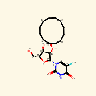 O=c1[nH]c(=O)n([C@@H]2O[C@H](CO)C3OC4(CCCCCCCCCCC4)OC32)cc1F